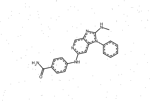 CNc1nc2cnc(Nc3ccc(C(N)=O)cc3)cc2n1-c1ccccc1